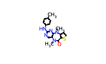 Cc1ccc(Nc2ncc3c(n2)N(C)c2ccsc2C(=O)N3C)cc1